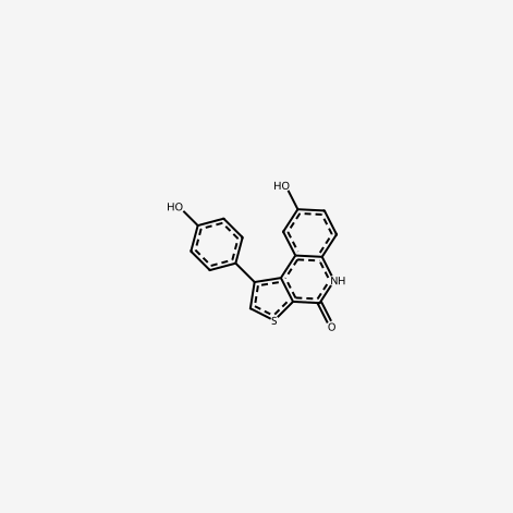 O=c1[nH]c2ccc(O)cc2c2c(-c3ccc(O)cc3)csc12